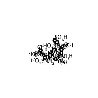 Cc1ccc(N=Nc2cc(S(=O)(=O)O)c(N)cc2Nc2nc(Nc3ccc(SOOO)c(N=Nc4c(S(=O)(=O)O)cc5cc(SOOO)c(N=Nc6ccc7c(S(=O)(=O)O)cccc7c6S(=O)(=O)O)c(O)c5c4N)c3)nc(-[n+]3ccccc3)n2)c(SOOO)c1